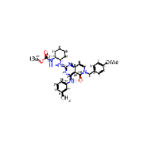 COc1ccc(Cn2ccc3nc(N[C@@H]4CCCC[C@@H]4NC(=O)OC(C)(C)C)nc(Nc4cccc(C)c4)c3c2=O)cc1